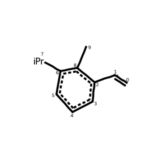 C=[C]c1cccc(C(C)C)c1C